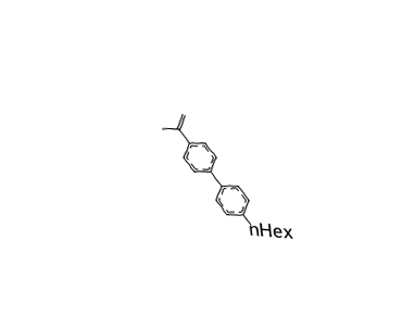 C=C(C)c1ccc(-c2ccc(CCCCCC)cc2)cc1